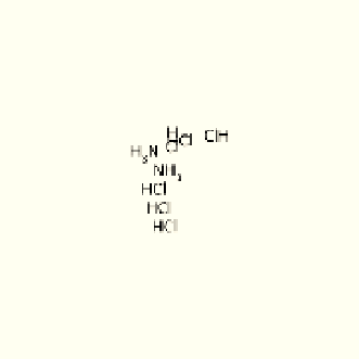 Cl.Cl.Cl.Cl.Cl.Cl.N.N